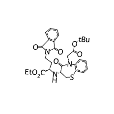 CCOC(=O)[C@@H](CCN1C(=O)c2ccccc2C1=O)N[C@H]1CSc2ccccc2N(CC(=O)OC(C)(C)C)C1=O